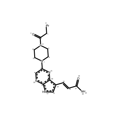 CC(C)CC(=O)N1CCN(c2cnc3[nH]cc(/C=C/C(N)=O)c3n2)CC1